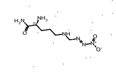 NC(=O)[C@@H](N)CCCNCN=N[N+](=O)[O-]